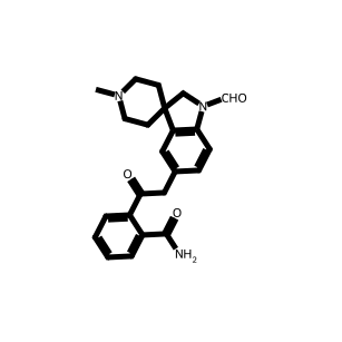 CN1CCC2(CC1)CN(C=O)c1ccc(CC(=O)c3ccccc3C(N)=O)cc12